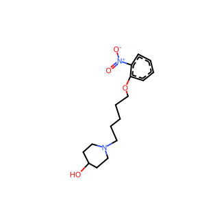 O=[N+]([O-])c1ccccc1OCCCCCN1CCC(O)CC1